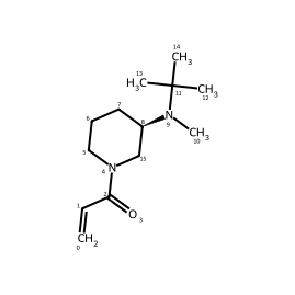 C=CC(=O)N1CCC[C@@H](N(C)C(C)(C)C)C1